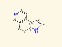 c1cc2c(cn1)CCc1[nH]ccc1-2